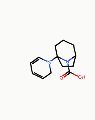 O=C(O)N1C2CCCC1(N1C=CC=CC1)CC2